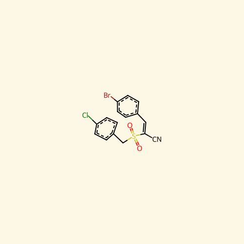 N#CC(=Cc1ccc(Br)cc1)S(=O)(=O)Cc1ccc(Cl)cc1